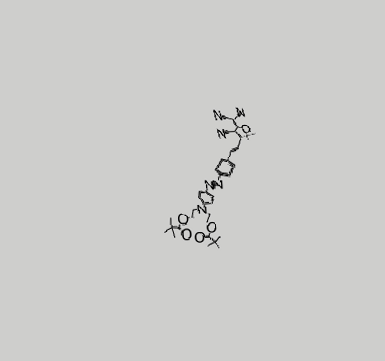 CC(C)(C)C(=O)OCCN(CCOC(=O)C(C)(C)C)c1ccc(N=Nc2ccc(C=CC3=C(C#N)C(=C(C#N)C#N)OC3(C)C)cc2)cc1